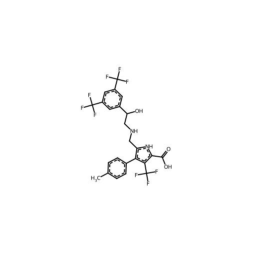 Cc1ccc(-c2c(CNCC(O)c3cc(C(F)(F)F)cc(C(F)(F)F)c3)[nH]c(C(=O)O)c2C(F)(F)F)cc1